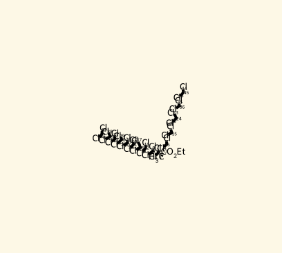 CCOC(C)=O.ClCCl.ClCCl.ClCCl.ClCCl.ClCCl.ClCCl.ClCCl.ClCCl.ClCCl.ClCCl.ClCCl.ClCCl.ClCCl.ClCCl.ClCCl